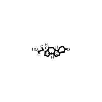 C[C@]12CC[C@H]3[C@@H](CCC4=CC(=O)CC[C@@]43C)[C@@H]1CC[C@@H]2C(=O)C(=O)O